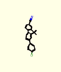 CC1(C)c2cc(C#N)ccc2-c2ccc(-c3ccc(Cl)cc3)cc21